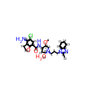 CO[C@@H]1CN(CCCn2c(C)nc3ccccc32)CC[C@@H]1NC(=O)c1cc(Cl)c(N)c2c1OCC2.O